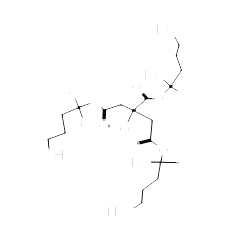 CCCCC(C)(C)OC(=O)CC(O)(CC(=O)OC(C)(C)CCCC)C(=O)OC(C)(C)CCCC